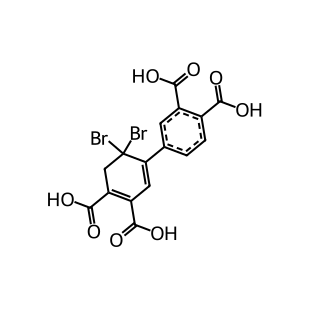 O=C(O)C1=C(C(=O)O)CC(Br)(Br)C(c2ccc(C(=O)O)c(C(=O)O)c2)=C1